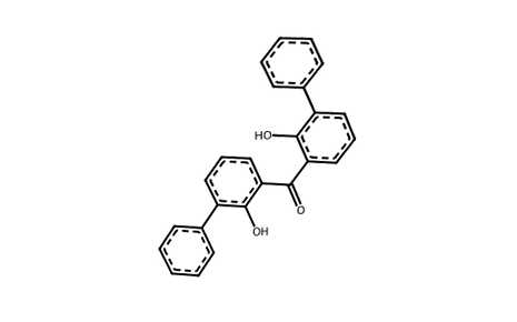 O=C(c1cccc(-c2ccccc2)c1O)c1cccc(-c2ccccc2)c1O